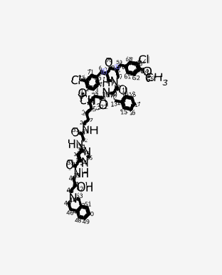 COc1ccc(/C=C2\CN(C(=O)[C@H](Cc3ccccc3)NC(=O)CCCCCCNC(=O)CNc3cc(C(=O)NC[C@@H](O)CN4CCc5ccccc5C4)ncn3)C/C(=C\c3ccc(OC)c(Cl)c3)C2=O)cc1Cl